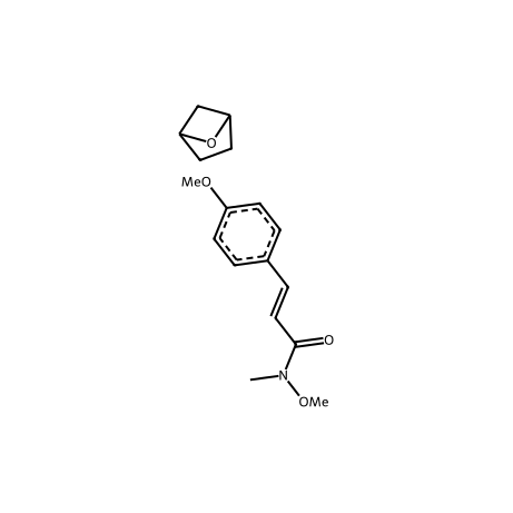 C1CC2CC1O2.COc1ccc(C=CC(=O)N(C)OC)cc1